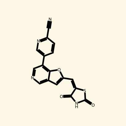 N#Cc1ccc(-c2cncc3cc(C=C4SC(=O)NC4=O)oc23)cn1